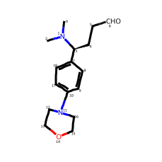 CN(C)[C@@H](CCC=O)c1ccc(N2CCOCC2)cc1